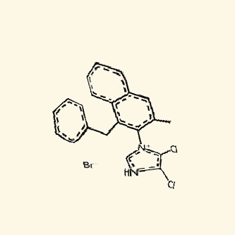 Cc1cc2ccccc2c(Cc2ccccc2)c1-[n+]1c[nH]c(Cl)c1Cl.[Br-]